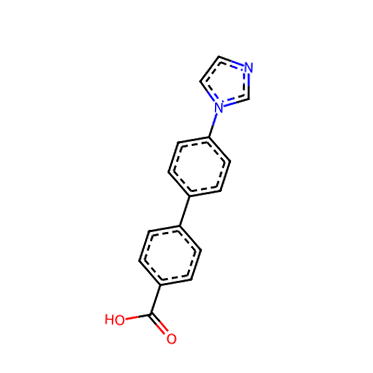 O=C(O)c1ccc(-c2ccc(-n3ccnc3)cc2)cc1